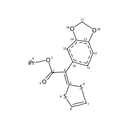 CC(C)OC(=O)C(=C1SC=CS1)c1ccc2c(c1)OCO2